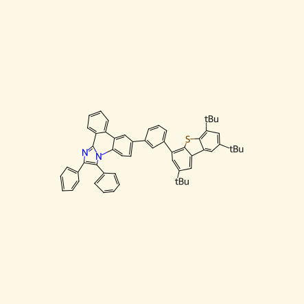 CC(C)(C)c1cc(-c2cccc(-c3ccc4c(c3)c3ccccc3c3nc(-c5ccccc5)c(-c5ccccc5)n43)c2)c2sc3c(C(C)(C)C)cc(C(C)(C)C)cc3c2c1